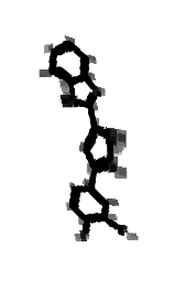 Fc1ccc(-c2cc(-c3nc4ccccc4[nH]3)[nH]n2)cc1F